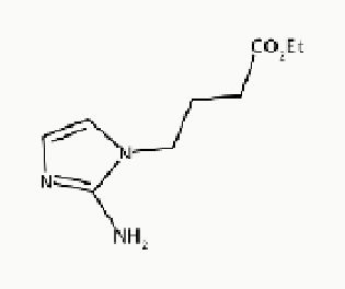 CCOC(=O)CCCn1ccnc1N